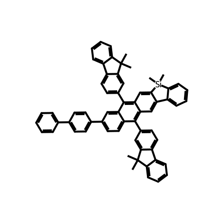 CC1(C)c2ccccc2-c2ccc(-c3c4ccc(-c5ccc(-c6ccccc6)cc5)cc4c(-c4ccc5c(c4)C(C)(C)c4ccccc4-5)c4cc5c(cc34)-c3ccccc3[Si]5(C)C)cc21